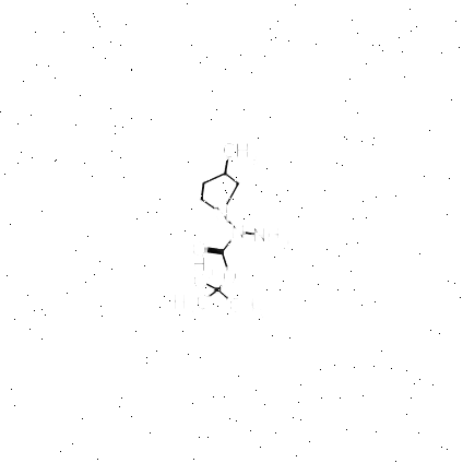 CC1CCN(N(N)C(=O)OC(C)(C)C)C1